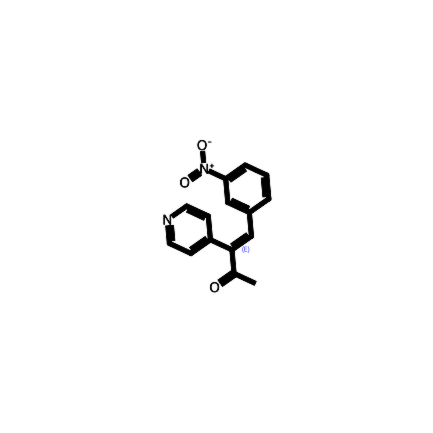 CC(=O)/C(=C/c1cccc([N+](=O)[O-])c1)c1ccncc1